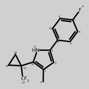 Cc1cc(-c2ccc(F)cc2)[nH]c1C1(C(F)(F)F)CC1